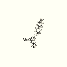 COC(C)(Cn1ccnc1)OCCOc1ccc(N2CCN(C(C)=O)CC2)cc1